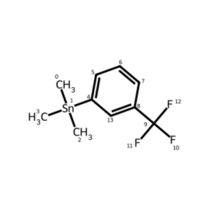 [CH3][Sn]([CH3])([CH3])[c]1cccc(C(F)(F)F)c1